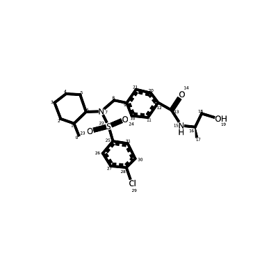 CC1CCCCC1N(Cc1ccc(C(=O)N[C@H](C)CO)cc1)S(=O)(=O)c1ccc(Cl)cc1